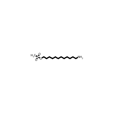 CS(=O)(=O)OCCCCCCCCCCCCN